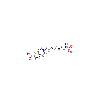 CC(C)C(=O)c1ccc2c(c1)CCN(CCCCCCCCNC(=O)OC(C)(C)C)CC2